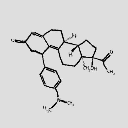 CC(=O)[C@@]1(O)CC[C@H]2[C@@H]3CCC4=CC(=O)CC(c5ccc(N(C)C)cc5)C4=C3CC[C@@]21C